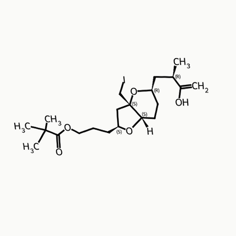 C=C(O)[C@H](C)C[C@H]1CC[C@@H]2O[C@@H](CCCOC(=O)C(C)(C)C)C[C@]2(CI)O1